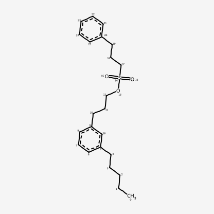 CCCCCc1cccc(CCCOS(=O)(=O)CCCc2ccccc2)c1